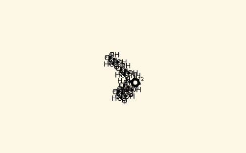 NC1CCCCC1N.O=P(O)(O)CP(=O)(O)O.O=P(O)(O)CP(=O)(O)O.O=P(O)(O)CP(=O)(O)O.O=P(O)(O)CP(=O)(O)O